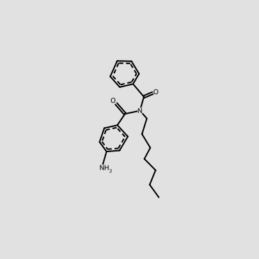 CCCCCCCN(C(=O)c1ccccc1)C(=O)c1ccc(N)cc1